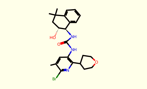 Cc1cc(NC(=O)N[C@@H]2c3ccccc3C(C)(C)C[C@H]2O)c(C2CCOCC2)nc1Br